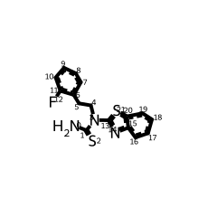 NC(=S)N(CCc1ccccc1F)c1nc2ccccc2s1